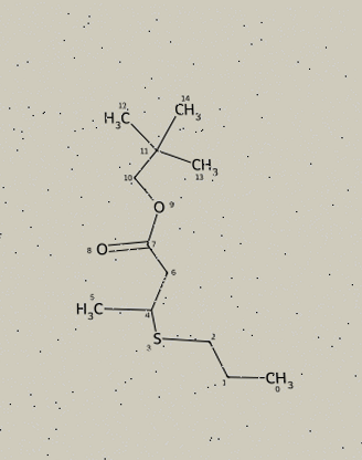 CCCSC(C)CC(=O)OCC(C)(C)C